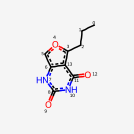 CCCc1occ2[nH]c(=O)[nH]c(=O)c12